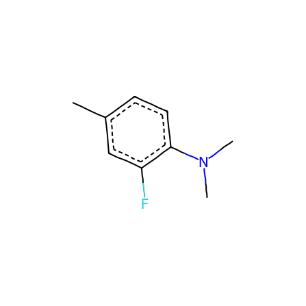 Cc1ccc(N(C)C)c(F)c1